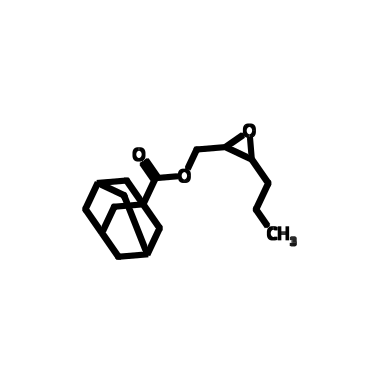 CCCC1OC1COC(=O)C12CC3CC(CC(C3)C1)C2